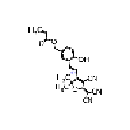 C=CC(=O)OCc1ccc(O)c(/C=C/C2=C(C#N)C(=C(C#N)C#N)OC2(C)C)c1